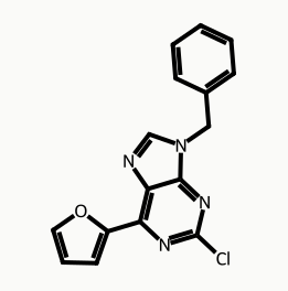 Clc1nc(-c2ccco2)c2ncn(Cc3ccccc3)c2n1